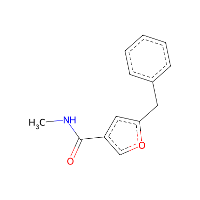 CNC(=O)c1coc(Cc2ccccc2)c1